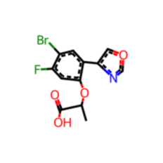 CC(Oc1cc(F)c(Br)cc1-c1cocn1)C(=O)O